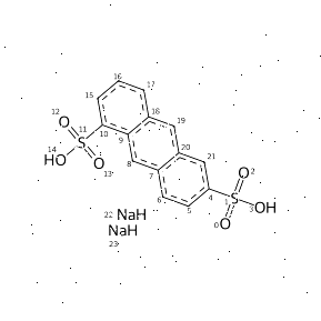 O=S(=O)(O)c1ccc2cc3c(S(=O)(=O)O)cccc3cc2c1.[NaH].[NaH]